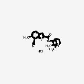 Cc1ccc2cc(C(=O)NC3C4CCN(CC4)C3(C)C)sc2c1C#N.Cl